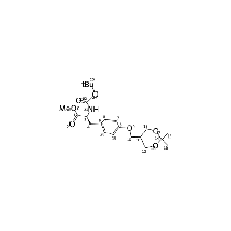 COC(=O)[C@H](Cc1ccc(OCC2COC(C)(C)OC2)cc1)NC(=O)OC(C)(C)C